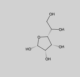 OCC(O)[C@H]1O[C@@H](O)[C@@H](O)[C@H]1O